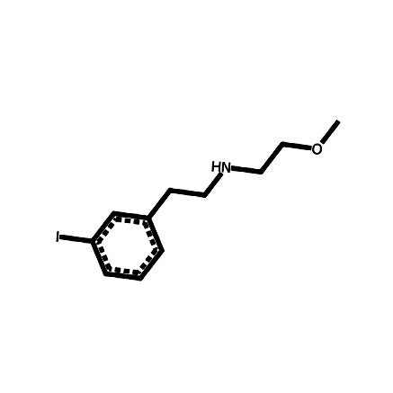 COCCNCCc1cccc(I)c1